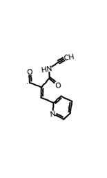 C#CNC(=O)C([C]=O)=Cc1ccccn1